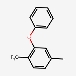 [CH2]c1ccc(C(F)(F)F)c(Oc2ccccc2)c1